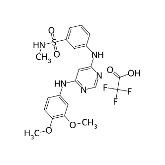 CNS(=O)(=O)c1cccc(Nc2cc(Nc3ccc(OC)c(OC)c3)ncn2)c1.O=C(O)C(F)(F)F